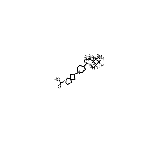 [2H]C([2H])([2H])C1(NC(=O)C2CCN(C3CC4(CCN(C(=O)O)C4)C3)CC2)C([2H])([2H])C([2H])([2H])C1([2H])[2H]